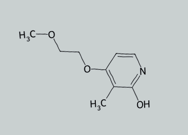 COCCOc1ccnc(O)c1C